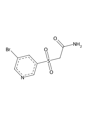 NC(=O)CS(=O)(=O)c1cncc(Br)c1